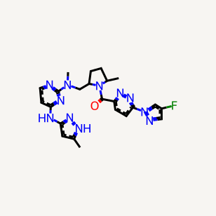 Cc1cc(Nc2ccnc(N(C)CC3CCC(C)N3C(=O)c3ccc(-n4cc(F)cn4)nn3)n2)n[nH]1